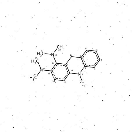 [2H]N1c2ccccc2Cc2c1ccc(N(C)C)c2N(C)C